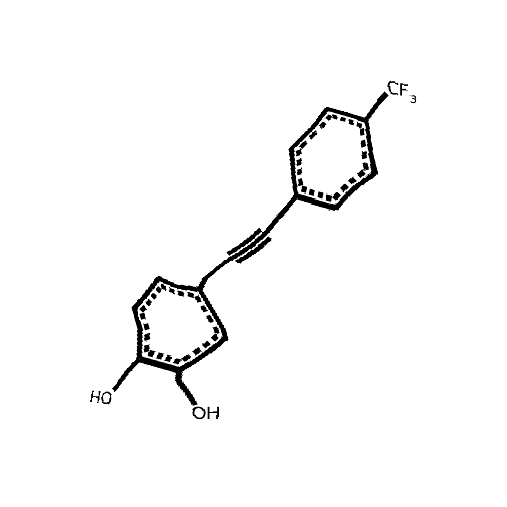 Oc1ccc(C#Cc2ccc(C(F)(F)F)cc2)cc1O